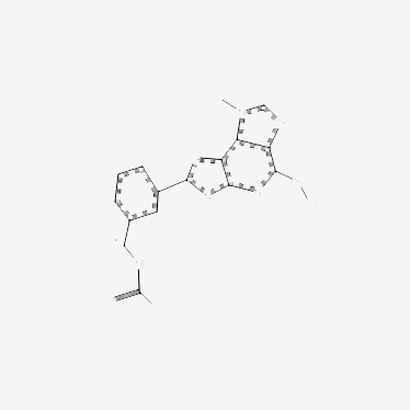 CNc1nc2nc(-c3cccc([C@@H](C)NC(C)=O)c3)sc2c2c1ncn2C